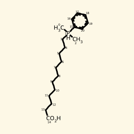 C[PH](C)(CCCCCCCCCCCC(=O)O)c1ccccc1